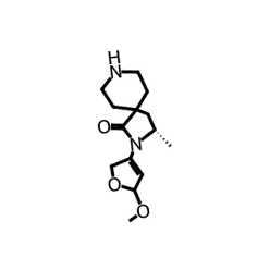 COC1C=C(N2C(=O)C3(CCNCC3)C[C@@H]2C)CO1